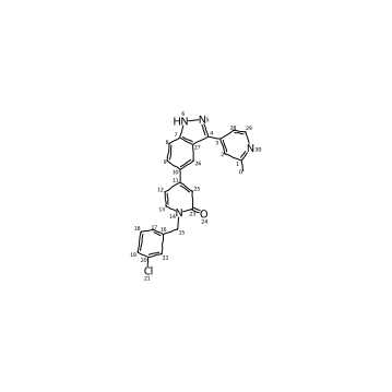 Cc1cc(-c2n[nH]c3ccc(-c4ccn(Cc5cccc(Cl)c5)c(=O)c4)cc23)ccn1